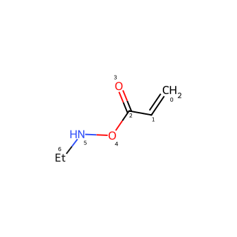 C=CC(=O)ONCC